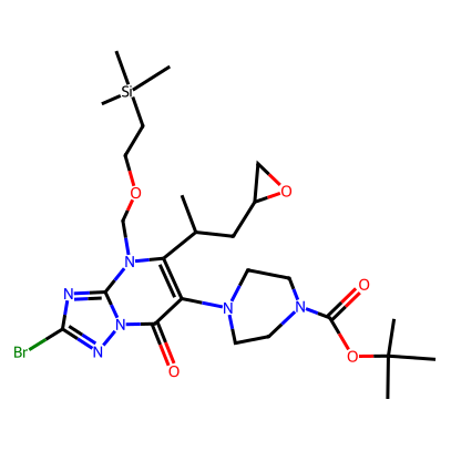 CC(CC1CO1)c1c(N2CCN(C(=O)OC(C)(C)C)CC2)c(=O)n2nc(Br)nc2n1COCC[Si](C)(C)C